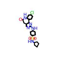 O=C1Cc2cnc(Nc3ccc(S(=O)(=O)NC4CCCC4)cc3)nc2-c2ccc(Cl)cc2N1